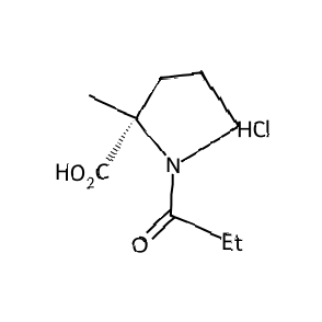 CCC(=O)N1CCC[C@@]1(C)C(=O)O.Cl